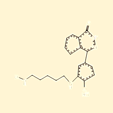 CCNCCCCCNc1cc(-c2n[nH]c(=O)c3ccccc23)ccc1Cl.Cl